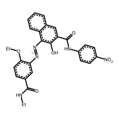 CCNC(=O)c1ccc(OCC)c(/N=N/c2c(O)c(C(=O)Nc3ccc([N+](=O)[O-])cc3)cc3ccccc23)c1